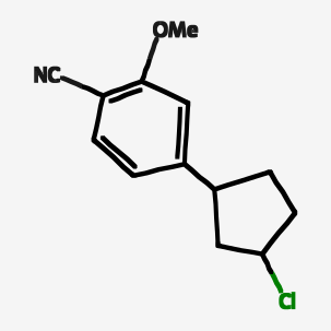 COc1cc(C2CCC(Cl)C2)ccc1C#N